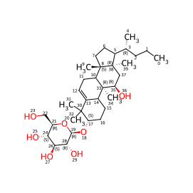 CCC[C@@H](C)C1CC[C@@]2(C)C3CC=C4C(CC[C@H](O[C@@H]5O[C@H](CO)[C@@H](O)[C@H](O)[C@H]5O)C4(C)C)[C@]3(C)[C@H](O)C[C@]12C